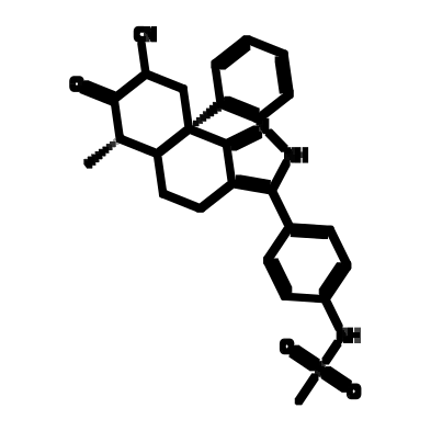 C[C@@H]1C(=O)C(C#N)C[C@@]2(c3ccccc3)c3n[nH]c(-c4ccc(NS(C)(=O)=O)cc4)c3CCC12